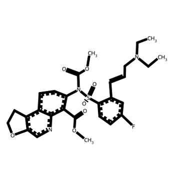 CCN(CC)CC=Cc1cc(F)ccc1S(=O)(=O)N(C(=O)OC)c1ccc2c3c(cnc2c1C(=O)OC)OCC3